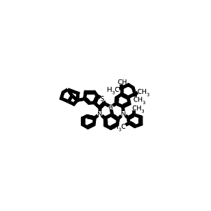 Cc1cccc(C)c1N1c2cc3c(cc2B2c4sc5ccc(C67CC8CCC(C6)C87)cc5c4N(c4ccccc4)c4cccc1c42)C(C)(C)CCC3(C)C